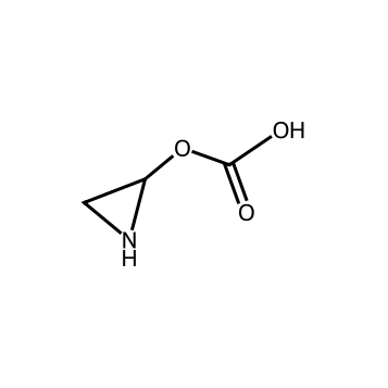 O=C(O)OC1CN1